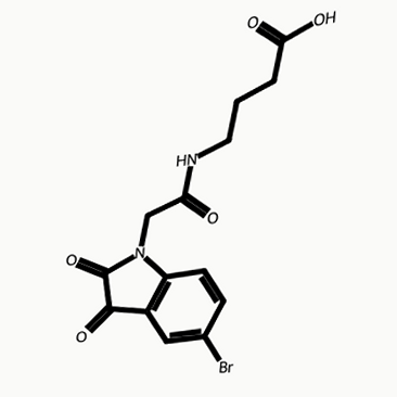 O=C(O)CCCNC(=O)CN1C(=O)C(=O)c2cc(Br)ccc21